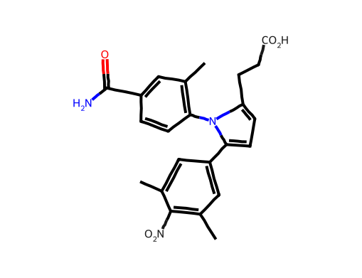 Cc1cc(C(N)=O)ccc1-n1c(CCC(=O)O)ccc1-c1cc(C)c([N+](=O)[O-])c(C)c1